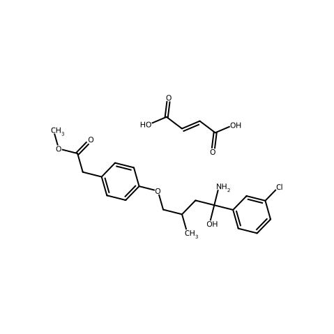 COC(=O)Cc1ccc(OCC(C)CC(N)(O)c2cccc(Cl)c2)cc1.O=C(O)C=CC(=O)O